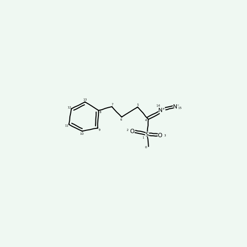 CS(=O)(=O)C(CCCc1ccccc1)=[N+]=[N-]